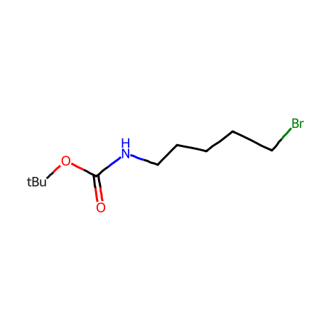 CC(C)(C)OC(=O)NCCCCCBr